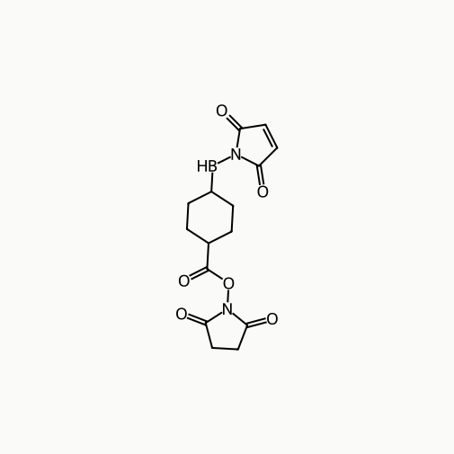 O=C(ON1C(=O)CCC1=O)C1CCC(BN2C(=O)C=CC2=O)CC1